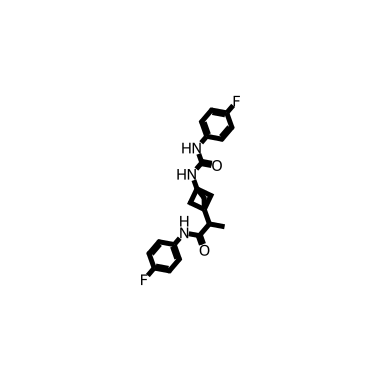 CC(C(=O)Nc1ccc(F)cc1)C12CC(NC(=O)Nc3ccc(F)cc3)(C1)C2